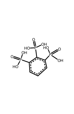 O=P(O)(O)c1cccc(P(=O)(O)O)c1P(=O)(O)O